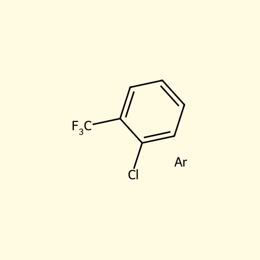 FC(F)(F)c1ccccc1Cl.[Ar]